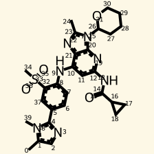 Cc1cnc(-c2ccc(Nc3cc(NC(=O)C4CC4)nc4c3nc(C)n4C3CCCCO3)c(S(C)(=O)=O)c2)n1C